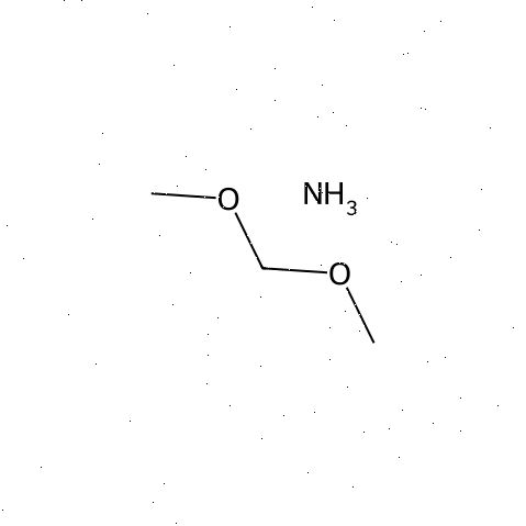 COCOC.N